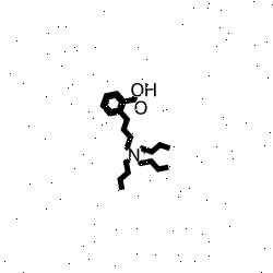 CCCC[N+](CCCC)(CCCC)CCCCc1ccccc1C(=O)O